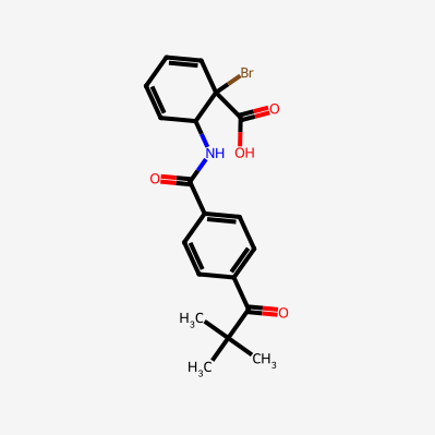 CC(C)(C)C(=O)c1ccc(C(=O)NC2C=CC=CC2(Br)C(=O)O)cc1